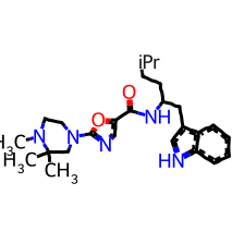 CC(C)CCC(Cc1c[nH]c2ccccc12)NC(=O)c1cnc(N2CCN(C)C(C)(C)C2)o1